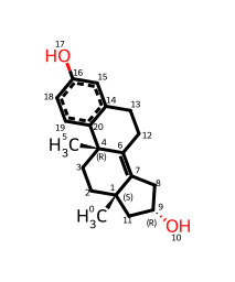 C[C@@]12CC[C@@]3(C)C(=C1C[C@H](O)C2)CCc1cc(O)ccc13